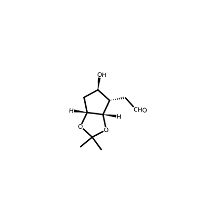 CC1(C)O[C@H]2[C@@H](CC=O)[C@H](O)C[C@H]2O1